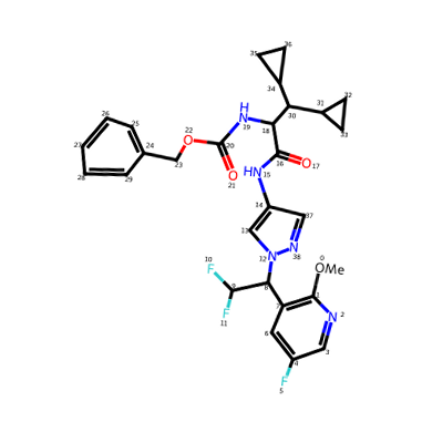 COc1ncc(F)cc1C(C(F)F)n1cc(NC(=O)C(NC(=O)OCc2ccccc2)C(C2CC2)C2CC2)cn1